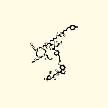 C#C[C@H]1CC(F)(F)CN1C(=O)CNC(=O)c1ccnc2ccc(OCCCC3CCN(C(=O)[C@H](CC(=O)OC)NC(=O)[C@H](CCCC/N=C(\C)NC(=O)CCCc4ccc(I)cc4)NC(=O)CN4CCN(COC=O)CCN(COC=O)CCN(CC(=O)O)CC4)CC3)cc12